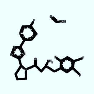 NC(CC(=O)N1CCCC1c1noc(-c2ccc(F)cn2)n1)Cc1cc(F)c(F)cc1F.O=CO